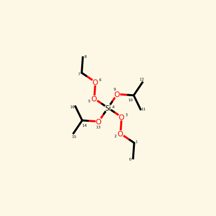 CCOO[Si](OOCC)(OC(C)C)OC(C)C